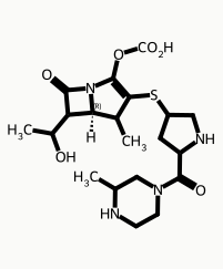 CC1CN(C(=O)C2CC(SC3=C(OC(=O)O)N4C(=O)C(C(C)O)[C@@H]4C3C)CN2)CCN1